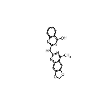 Cc1nc(Nc2nc(O)c3ccccc3n2)nc2cc3c(cc12)OCO3